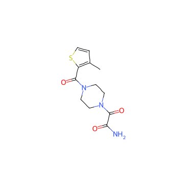 Cc1ccsc1C(=O)N1CCN(C(=O)C(N)=O)CC1